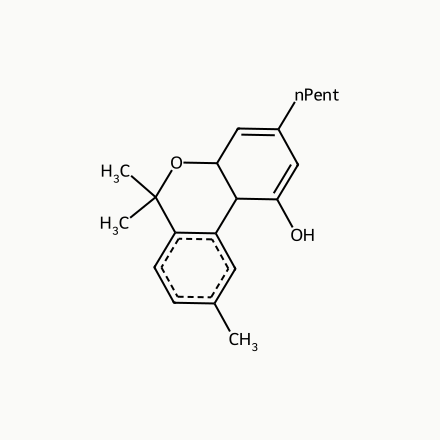 CCCCCC1=CC2OC(C)(C)c3ccc(C)cc3C2C(O)=C1